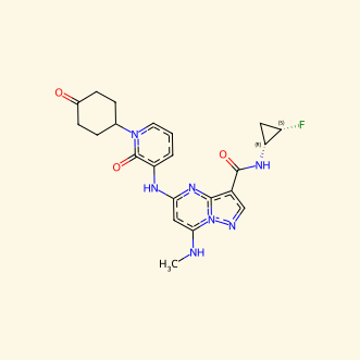 CNc1cc(Nc2cccn(C3CCC(=O)CC3)c2=O)nc2c(C(=O)N[C@@H]3C[C@@H]3F)cnn12